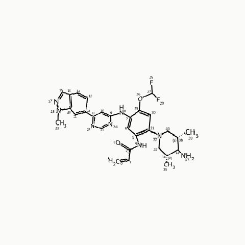 C=CC(=O)Nc1cc(Nc2cc(-c3ccc4cnn(C)c4c3)ncn2)c(OC(F)F)cc1N1C[C@@H](C)C(N)[C@@H](C)C1